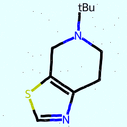 CC(C)(C)N1CCc2ncsc2C1